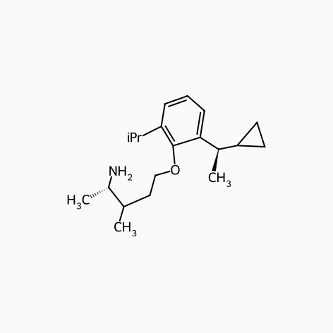 CC(C)c1cccc([C@H](C)C2CC2)c1OCCC(C)[C@H](C)N